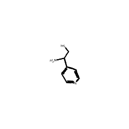 NC(CS)c1ccncc1